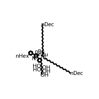 CCCCCCCCCCCCCCCCCCCCCCCCCC[CH2][Ni][CH2]CCCCCCCCCCCCCCCCCCCCCCCCCC.CCCCCCc1cccc(C2=C(CCCC)C(CCCC)=C(c3ccc(CC(O)C(O)C(O)C(O)CO)cc3)[N+]2=[N-])c1